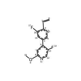 C=Cc1ncc(-c2cc(OC)ncc2F)cc1F